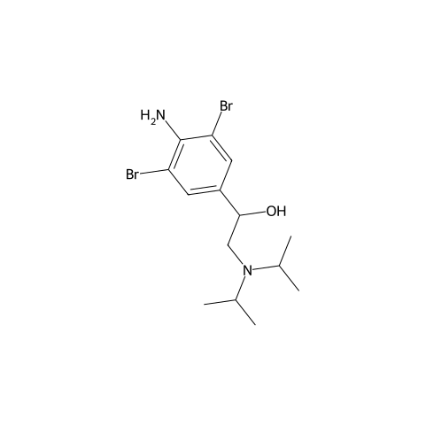 CC(C)N(CC(O)c1cc(Br)c(N)c(Br)c1)C(C)C